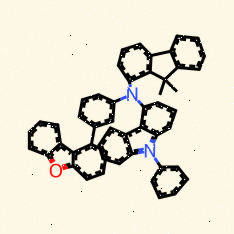 CC1(C)c2ccccc2-c2cccc(N(c3cccc(-c4cccc5oc6ccccc6c45)c3)c3cccc4c3c3ccccc3n4-c3ccccc3)c21